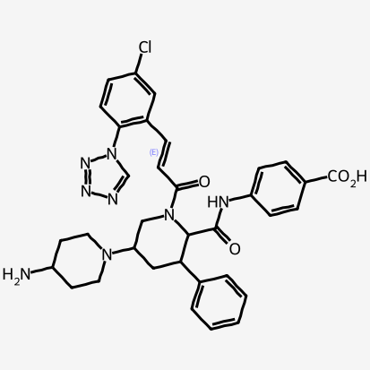 NC1CCN(C2CC(c3ccccc3)C(C(=O)Nc3ccc(C(=O)O)cc3)N(C(=O)/C=C/c3cc(Cl)ccc3-n3cnnn3)C2)CC1